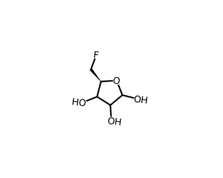 OC1O[C@H](CF)C(O)C1O